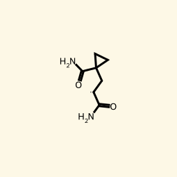 NC(=O)[CH]CC1(C(N)=O)CC1